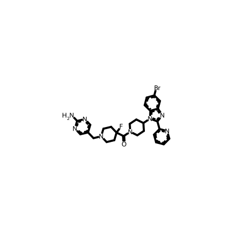 Nc1ncc(CN2CCC(F)(C(=O)N3CCC(n4c(-c5ccccn5)nc5cc(Br)ccc54)CC3)CC2)cn1